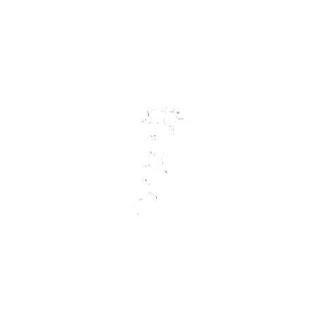 Cn1c(=O)[nH]c2ccnc(N3CCN(C4=CCN(C(=O)OC(C)(C)C)CC4(F)F)CC3)c21